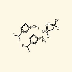 C[n+]1ccn(C(F)F)c1.C[n+]1ccn(C(F)F)c1.O=S(=O)([O-])CS(=O)(=O)[O-]